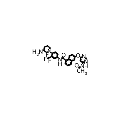 CC(=O)Nc1cc(Oc2ccc3c(C(=O)Nc4ccc(N5CCC[C@@H](N)C5)c(C(F)(F)F)c4)cccc3c2)ncn1